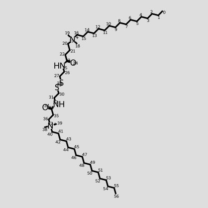 CCCCCCCCCCCCCCCCC[N+](C)(C)CCCC(=O)NCCSSCCNC(=O)CC[N+](C)(C)CCCCCCCCCCCCCCCCC